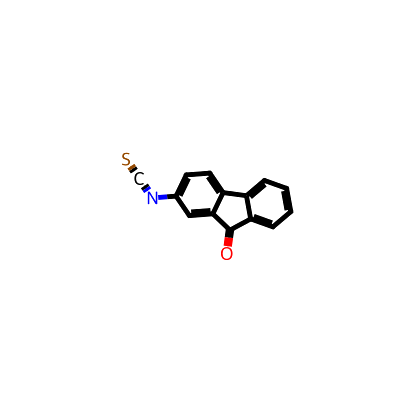 O=C1c2ccccc2-c2ccc(N=C=S)cc21